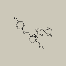 CCC12CCC(COc3ccc(Cl)cc3)(CC1)N2C(=O)OC(C)(C)C